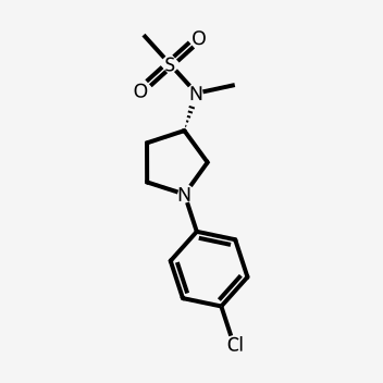 CN([C@H]1CCN(c2ccc(Cl)cc2)C1)S(C)(=O)=O